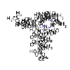 C/C1=C2N=C(/C=C3N=C(/C(C)=C4/[C@@H](CCC(N)=O)[C@](C)(CC(N)=O)[C@](C)([C@@H]5N=C1[C@](C)(CCC(=O)NCC(C)OP(=O)([O-])O[C@H]1[C@@H](O)[C@@H](n6cnc7cc(C)c(C)cc76)O[C@@H]1CO)[C@H]5CC(N)=O)[N]4[Co+][C]#N)[C@@](C)(CC(N)=O)[C@@H]\3CCC(N)=O)C(C)(C)[C@@H]/2CCC(N)=O.CC(C)(CO)[C@@H](O)C(=O)NCCC(=O)[O-].CC(C)(CO)[C@@H](O)C(=O)NCCC(=O)[O-].O=C(O)CN(CC(=O)O)CC(=O)O.[Ca+2]